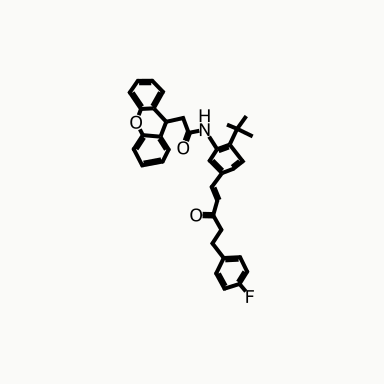 CC(C)(C)c1ccc(/C=C/C(=O)CCc2ccc(F)cc2)cc1NC(=O)CC1c2ccccc2Oc2ccccc21